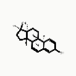 CC(=O)[C@@]1(O)CC[C@H]2[C@@H]3C=CC4=CC(O)C=C[C@]4(C)[C@H]3CC[C@@]21C